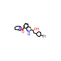 CCC1CCC(C[C@@H](O)[C@@H]2Cc3cccc(C(=O)N4C5CCCC4COC5)c3CN2)CC1